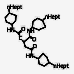 CCCCCCCC1CCC(NC(=O)CC(CC(=O)NC2CCC(CCCCCCC)CC2)C(=O)NC2CCC(CCCCCCC)CC2)CC1